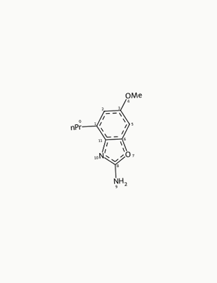 CCCc1cc(OC)cc2oc(N)nc12